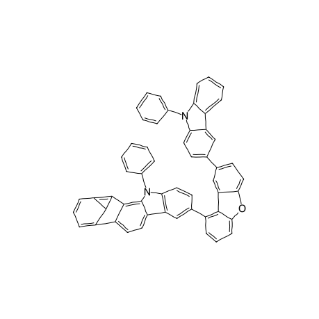 C1=CC2=C3c4c(ccc5c6cc(-c7cccc8oc9ccc(-c%10ccc%11c(c%10)c%10ccccc%10n%11-c%10ccccc%10)cc9c78)ccc6n(-c6ccccc6)c45)C(=C1)C23